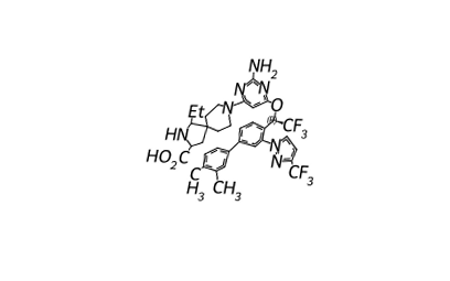 CCC1NC(C(=O)O)CC12CCN(c1cc(O[C@H](c3ccc(-c4ccc(C)c(C)c4)cc3-n3ccc(C(F)(F)F)n3)C(F)(F)F)nc(N)n1)CC2